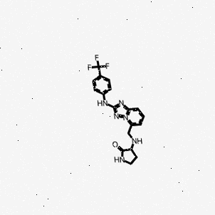 O=C1NCCC1NCc1cccc2nc(Nc3ccc(C(F)(F)F)cc3)nn12